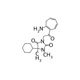 CN1C(=O)N(CC(=O)C2=C(N)CC=CC=C2)C(=O)C1(C)C1CCCCC1